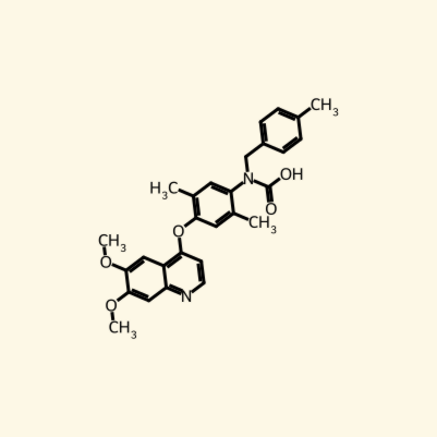 COc1cc2nccc(Oc3cc(C)c(N(Cc4ccc(C)cc4)C(=O)O)cc3C)c2cc1OC